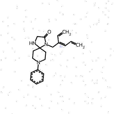 C=C/C=C(\C=C)CN1C(=O)CNC12CCN(c1ccccc1)CC2